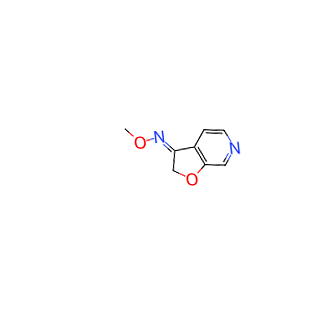 CON=C1COc2cnccc21